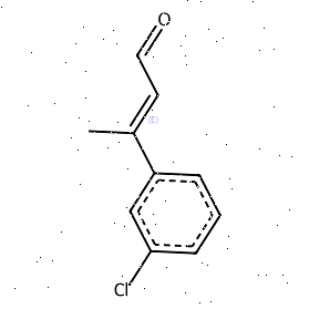 C/C(=C\C=O)c1cccc(Cl)c1